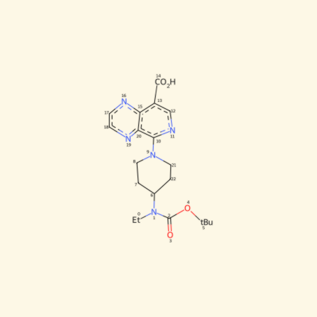 CCN(C(=O)OC(C)(C)C)C1CCN(c2ncc(C(=O)O)c3nccnc23)CC1